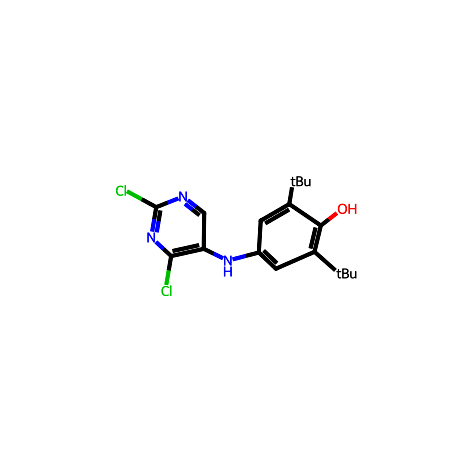 CC(C)(C)c1cc(Nc2cnc(Cl)nc2Cl)cc(C(C)(C)C)c1O